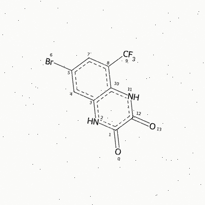 O=c1[nH]c2cc(Br)cc(C(F)(F)F)c2[nH]c1=O